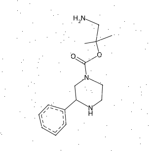 CC(C)(CN)OC(=O)N1CCNC(c2ccccc2)C1